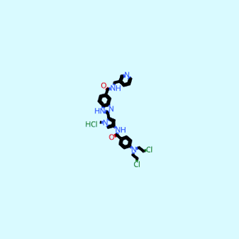 Cl.Cn1cc(NC(=O)c2ccc(N(CCCl)CCCl)cc2)cc1-c1nc2cc(C(=O)NCc3cccnc3)ccc2[nH]1